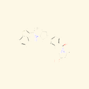 C[C@@H](N[C@H]1CC[C@H](c2ccc(C(=O)N3CCC(O)C3)cc2)C1)c1csc2ccccc12